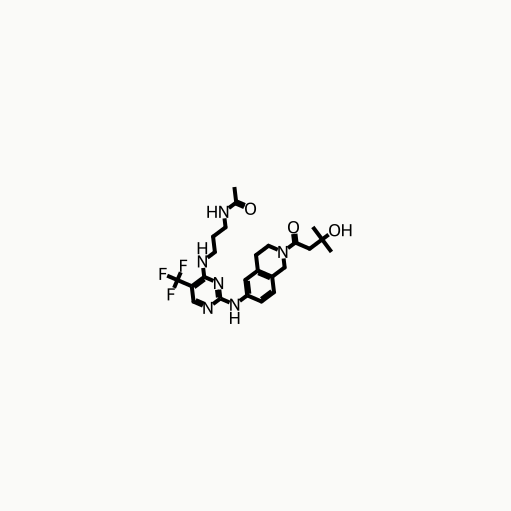 CC(=O)NCCCNc1nc(Nc2ccc3c(c2)CCN(C(=O)CC(C)(C)O)C3)ncc1C(F)(F)F